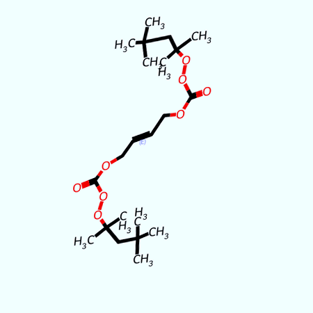 CC(C)(C)CC(C)(C)OOC(=O)OC/C=C/COC(=O)OOC(C)(C)CC(C)(C)C